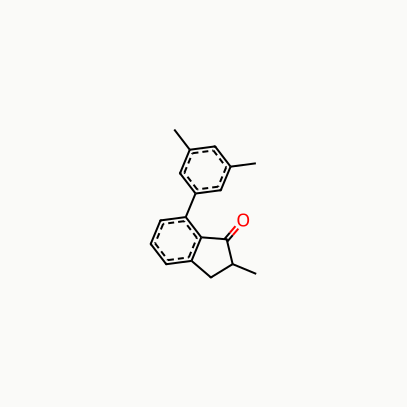 Cc1cc(C)cc(-c2cccc3c2C(=O)C(C)C3)c1